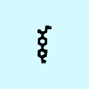 CC(C)c1ccc(N2CCN(C(=O)CC(C)(C)C)CC2)nc1